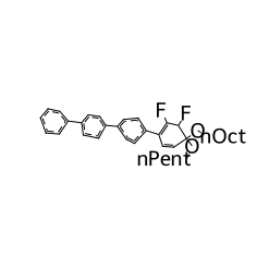 CCCCCCCCOC1(OCCCCC)C=CC(c2ccc(-c3ccc(-c4ccccc4)cc3)cc2)=C(F)C1F